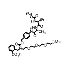 COCCOCCOCCOCCN(Cc1ccccc1C(=O)O)C(=O)OCc1ccc(NC(=O)[C@H](C)NC(=O)[C@@H](NC(=O)OC(C)(C)C)C(C)C)cc1